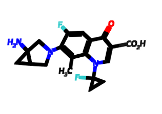 Cc1c(N2CC3CC3(N)C2)c(F)cc2c(=O)c(C(=O)O)cn(C3(F)CC3)c12